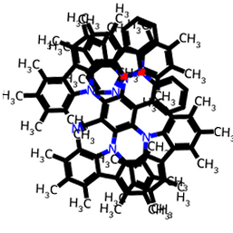 Cc1c(C)c(C)c2c(c1C)c1c(C)c(C)c(C)c(C)c1n2-c1c(C#N)c(-n2c3c(C)c(C)c(C)c(C)c3c3c(C)c(C)c(C)c(C)c32)c(-n2c3c(C)c(C)c(C)c(C)c3c3c(C)c(C)c(C)c(C)c32)c(-c2ccccc2-n2c3ccccc3c3cccnc32)c1-n1c2c(C)c(C)c(C)c(C)c2c2c(C)c(C)c(C)c(C)c21